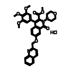 COC(=O)c1c(-c2cc(OC)c(OC)c(OC)c2)c2ccc(OCc3ccc4ccccc4n3)cc2c(=O)n1N1CCOCC1.Cl